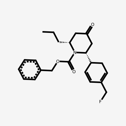 CCC[C@@H]1CC(=O)C[C@H](C2C=CC(CF)=CC2)N1C(=O)OCc1ccccc1